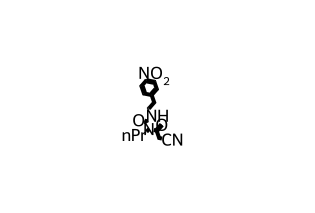 CCCN(C(=O)CC#N)C(=O)NCCc1ccc([N+](=O)[O-])cc1